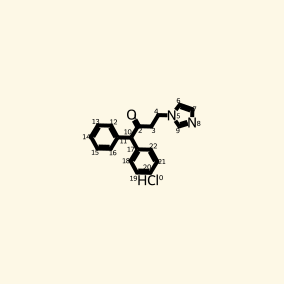 Cl.O=C(CCn1ccnc1)C(c1ccccc1)c1ccccc1